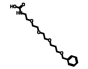 O=C(O)NCCOCCOCCOCCCOCc1ccccc1